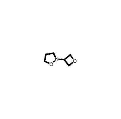 [CH]1CCON1C1COC1